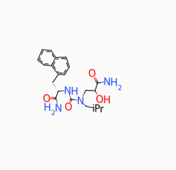 CC(C)CN(CC(O)C(N)=O)C(=O)N[C@@H](Cc1cccc2ccccc12)C(N)=O